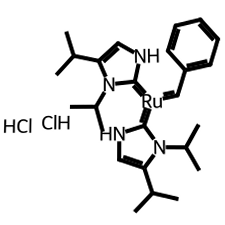 CC(C)c1c[nH][c](=[Ru](=[CH]c2ccccc2)=[c]2[nH]cc(C(C)C)n2C(C)C)n1C(C)C.Cl.Cl